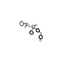 O=C(NC1CCCCC1)OC[C@@H]1OC(=O)N(c2ccc(Oc3ccc(Cl)cc3)cc2)[C@H]1c1ccccc1